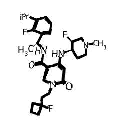 CC(C)c1cccc([C@@H](C)NC(=O)c2cn(CCC3(F)CCC3)c(=O)cc2N[C@@H]2CCN(C)C[C@@H]2F)c1F